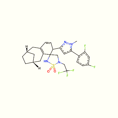 Cn1nc(C2C=CC3=C(C[C@@H]4CC[C@H](C3)C4)C23CN(CC(F)(F)F)S(=O)(=O)N3)cc1-c1ccc(F)cc1F